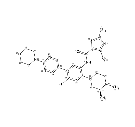 Cc1nc(C(F)(F)F)c(C(=O)Nc2cc(-c3cnc(N4CCOCC4)nc3)c(F)cc2N2CCN(C)[C@@H](C)C2)s1